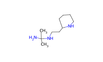 CC(C)(N)NCCC1CCCCN1